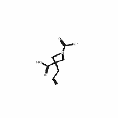 C=CCC1(C(=O)O)CN(C(=O)O)C1